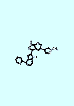 Cn1cc(-c2cnc3[nH]nc(-c4cc5c(-c6ccccn6)cccc5[nH]4)c3c2)cn1